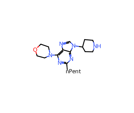 CCCCCc1nc(N2CCOCC2)c2ncn(C3CCNCC3)c2n1